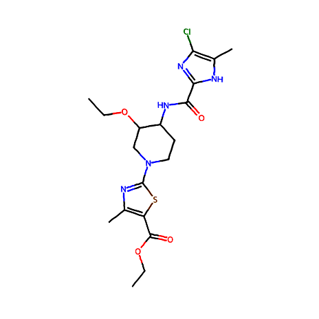 CCOC(=O)c1sc(N2CCC(NC(=O)c3nc(Cl)c(C)[nH]3)C(OCC)C2)nc1C